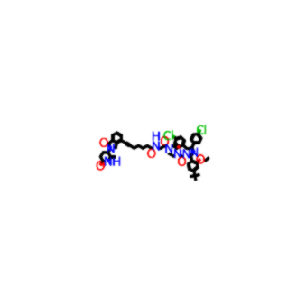 C=C1NC(=O)CCC1N1Cc2c(C#CCCCCC(=O)NCC(=O)N3CCN(C(=O)N4C(c5ccc(C(C)(C)C)cc5OCC)=NC(c5ccc(Cl)cc5)C4c4ccc(Cl)cc4)CC3)cccc2C1=O